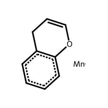 C1=COc2ccccc2C1.[Mn]